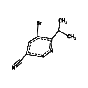 CC(C)c1ncc(C#N)cc1Br